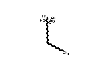 CCCCCCCC/C=C\CCCCCCCCC(OS(=O)(=O)O)C(O)CO